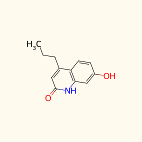 CCCc1cc(=O)[nH]c2cc(O)ccc12